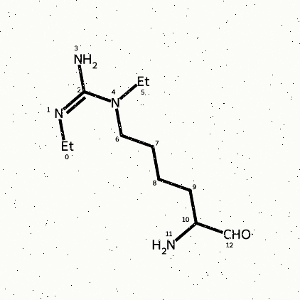 CCN=C(N)N(CC)CCCCC(N)[C]=O